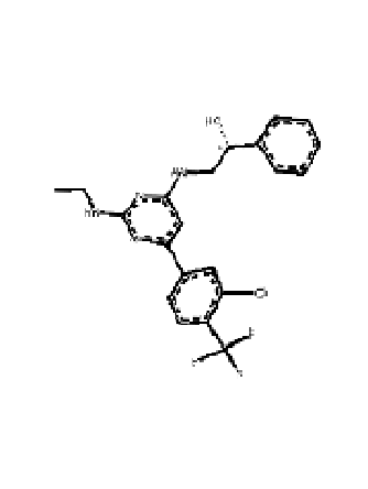 CCNc1nc(NC[C@H](O)c2ccccc2)cc(-c2ccc(C(F)(F)F)c(Cl)c2)n1